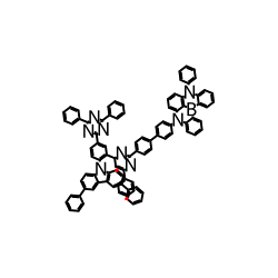 c1ccc(-c2ccc3c(c2)c2cc(-c4ccccc4)ccc2n3-c2ccc(-c3nc(-c4ccccc4)nc(-c4ccccc4)n3)cc2-c2cc(-c3ccccc3)nc(-c3ccc(-c4ccc(N5c6ccccc6B6c7ccccc7N(c7ccccc7)c7cccc5c76)cc4)cc3)n2)cc1